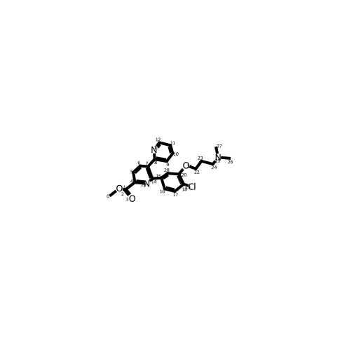 COC(=O)c1ccc(-c2ccccn2)c(-c2ccc(Cl)c(OCCCN(C)C)c2)n1